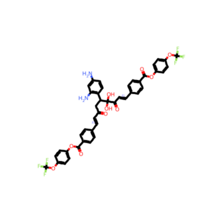 Nc1ccc(C(CC(=O)/C=C/c2ccc(C(=O)Oc3ccc(OC(F)(F)F)cc3)cc2)C(O)(O)C(=O)/C=C/c2ccc(C(=O)Oc3ccc(OC(F)(F)F)cc3)cc2)c(N)c1